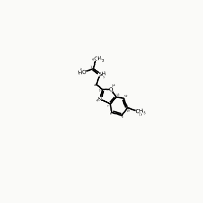 CC(O)=[SH]Cc1nc2ccc(C)cc2o1